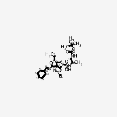 C=CC[C@@H]1CN(S(=O)(=O)N[C@H](C)CNC(=O)OC(C)(C)C)C[C@]1(N=[N+]=[N-])C(=O)OCc1ccccc1